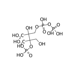 O=C(O)C(O)(COP(=O)(O)OP(=O)(O)O)C(CO)(OP(=O)(O)O)C(=O)O